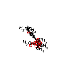 CC(=O)OCC1OC(OCCCCc2ccc(OCCC(C)(C)C)cc2)C(OC(C)=O)C(OC(C)=O)C1OC(C)=O